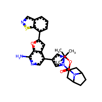 CC(C)(C)OC(=O)N1C2CCC1CC(n1cc(-c3cnc(N)c4oc(-c5cccc6cnsc56)cc34)cn1)C2